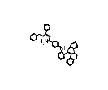 NC(/C=C(\CCC1C=CC=CC1)c1ccccc1)C1C=CC(Nc2ccccc2C2=C3c4ccccc4C=CC3C3C=CC=CC3=C2)=CC1